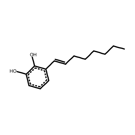 CCCCCCC=Cc1cccc(O)c1O